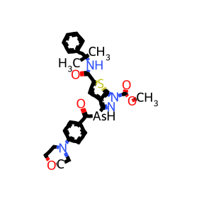 COC(=O)n1nc([AsH]C(=O)c2ccc(N3CCOCC3)cc2)c2cc(C(=O)NC(C)(C)c3ccccc3)sc21